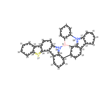 c1ccc2c(c1)B1c3c(ccc4c5ccccc5n-2c34)-c2cccc3c4c5sc6ccccc6c5ccc4n1c23